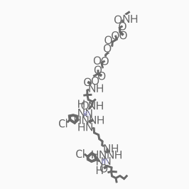 CCCC(C)CC(C)(C)CC(=O)/N=C(/NC(=N)NCCCCCCNC(=N)N/C(=N/C(=O)NC(C)CC(C)(C)CNC(=O)OCC(=O)OCC(=O)OCCOCC(=O)COC(=O)COC(=O)NCC)Nc1ccc(Cl)cc1)Nc1ccc(Cl)cc1